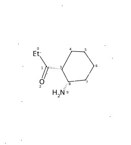 CCC(=O)[C@@H]1CCCC[C@@H]1N